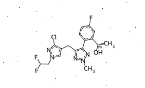 C[C@@H](O)c1cc(F)ccc1-c1nn(C)nc1Cc1cn(CC(F)F)nc1Cl